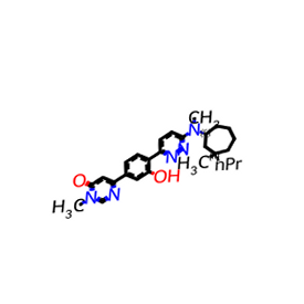 CCC[C@]1(C)CCCC[C@H](N(C)c2ccc(-c3ccc(-c4cc(=O)n(C)cn4)cc3O)nn2)C1